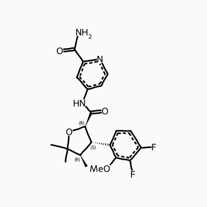 COc1c([C@@H]2[C@@H](C)C(C)(C)O[C@H]2C(=O)Nc2ccnc(C(N)=O)c2)ccc(F)c1F